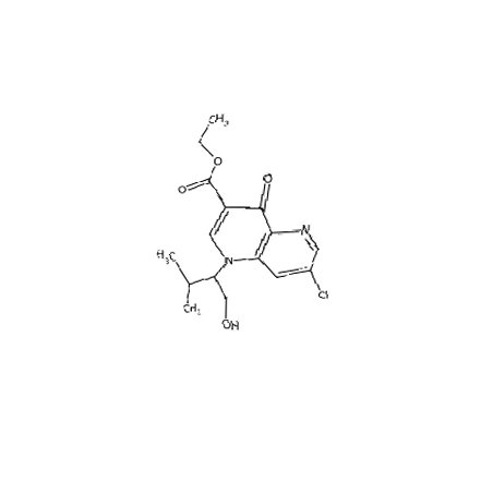 CCOC(=O)c1cn(C(CO)C(C)C)c2cc(Cl)cnc2c1=O